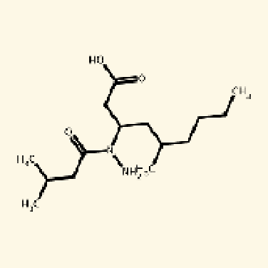 CCCCC(C)CC(CC(=O)O)N(N)C(=O)CC(C)C